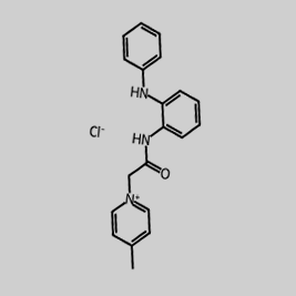 Cc1cc[n+](CC(=O)Nc2ccccc2Nc2ccccc2)cc1.[Cl-]